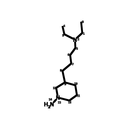 CCN(CC)CCCCC1CCCN(N)C1